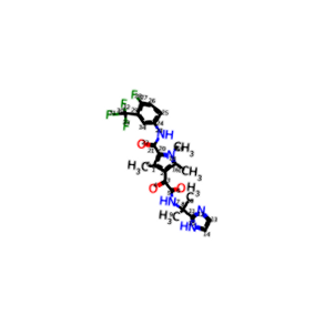 Cc1c(C(=O)C(=O)NC(C)(C)c2ncc[nH]2)c(C)n(C)c1C(=O)Nc1ccc(F)c(C(F)(F)F)c1